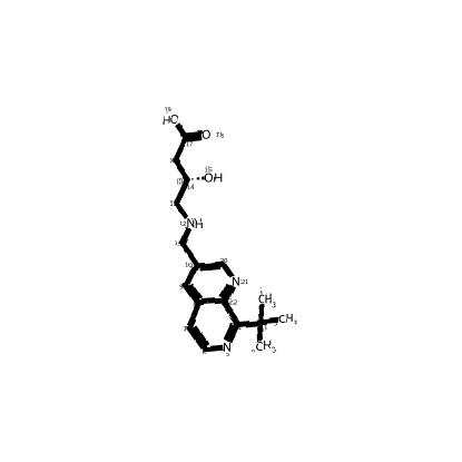 CC(C)(C)c1nccc2cc(CNC[C@@H](O)CC(=O)O)cnc12